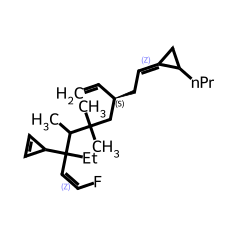 C=C[C@@H](C/C=C1/CC1CCC)CC(C)(C)C(C)C(/C=C\F)(CC)C1C=C1